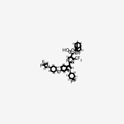 O=C(NC1(C(=O)O)C2CC3CC(C2)CC1C3)c1cnc(-c2cn(C3CCC(F)(F)CC3)c3cc(O[C@H]4CC[C@H](N5CC(F)(F)C5)CC4)ccc23)nc1C(F)(F)F